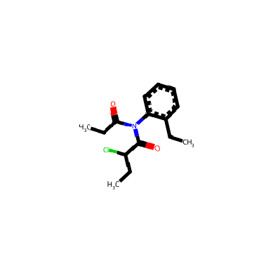 CCC(=O)N(C(=O)C(Cl)CC)c1ccccc1CC